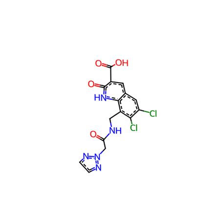 O=C(Cn1nccn1)NCc1c(Cl)c(Cl)cc2cc(C(=O)O)c(=O)[nH]c12